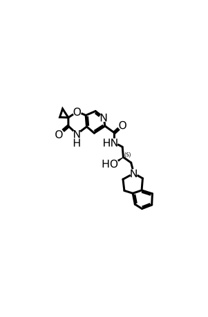 O=C(NC[C@H](O)CN1CCc2ccccc2C1)c1cc2c(cn1)OC1(CC1)C(=O)N2